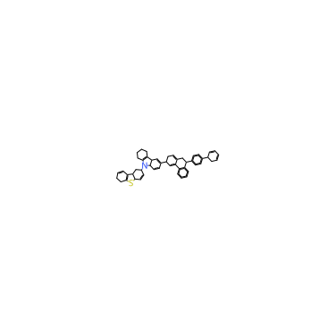 C1=CCC(c2ccc(C3CC4=CCC(C5=CC6C7=C(CCCC7)N(C7C=CC8SC9=C(C=CCC9)C8C7)C6C=C5)C=C4c4ccccc43)cc2)C=C1